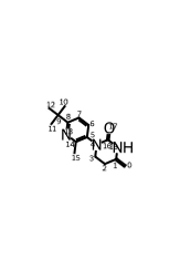 C=C1CCN(c2ccc(C(C)(C)C)nc2C)C(=O)N1